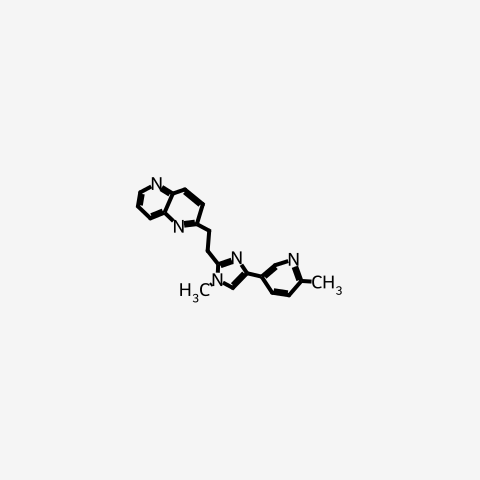 Cc1ccc(-c2cn(C)c(CCc3ccc4ncccc4n3)n2)cn1